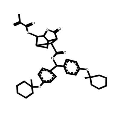 C=C(C)C(=O)OC1C2CC3C1OC(=O)C3C2C(=O)OC(c1ccc(OC2(C)CCCCC2)cc1)c1ccc(OC2(C)CCCCC2)cc1